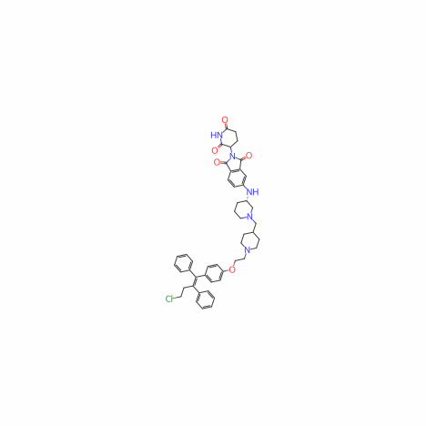 O=C1CCC(N2C(=O)c3ccc(N[C@H]4CCCN(CC5CCN(CCOc6ccc(C(=C(CCCl)c7ccccc7)c7ccccc7)cc6)CC5)C4)cc3C2=O)C(=O)N1